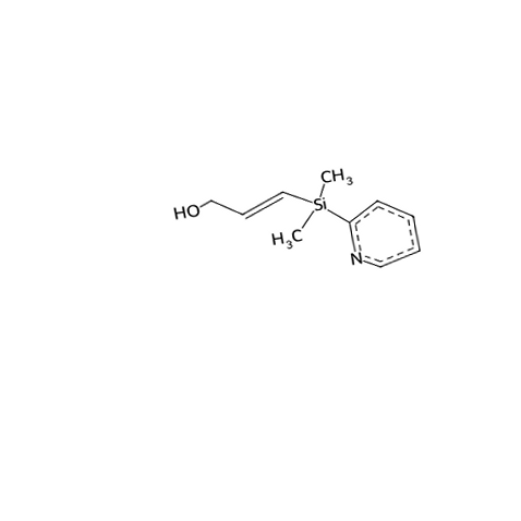 C[Si](C)(C=CCO)c1ccccn1